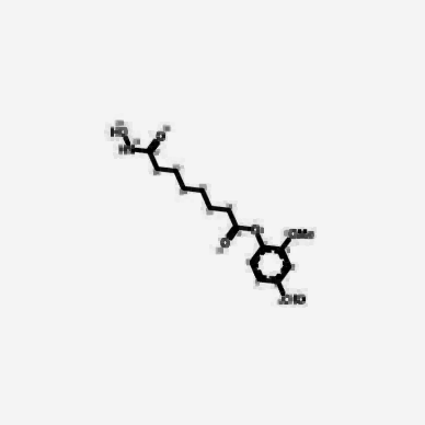 COc1cc(C=O)ccc1OC(=O)CCCCCCC(=O)NO